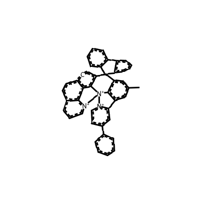 Cc1cc2c3c(c1)C1(c4ccccc4-c4ccccc41)c1ccc4ccc5ccc[n+]6c5c4c1[N+]36[n+]1ccc(-c3ccccc3)cc1-2